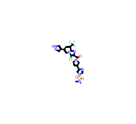 CN(C)S(=O)(=O)n1cnc(C2=CCN(C(=O)c3nc4c(C(F)(F)F)cc(-c5cn[nH]c5)cn4c3Cl)C2)c1